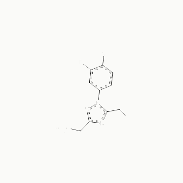 CCOC(=O)Cc1nc(CCl)n(-c2ccc(Cl)c(F)c2)n1